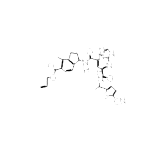 C=CCOC(=O)c1ccc2c(c1C)CC[C@@H]2NC(=O)c1cc(C(=O)NC(C)c2ccc(C#N)s2)nc2ncnn12